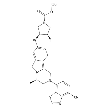 C[C@@H]1CN(c2ccc(C#N)c3ncsc23)CC2=C3CC=C(N[C@H]4CN(C(=O)OC(C)(C)C)C[C@H]4F)C=C3CN21